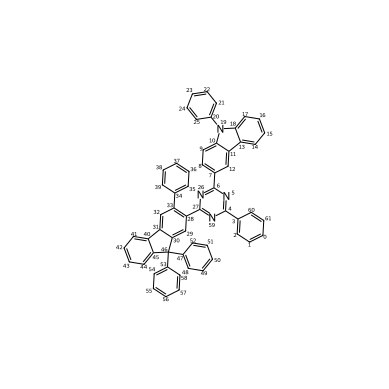 c1ccc(-c2nc(-c3ccc4c(c3)c3ccccc3n4-c3ccccc3)nc(-c3cc4c(cc3-c3ccccc3)-c3ccccc3C4(c3ccccc3)c3ccccc3)n2)cc1